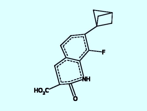 O=C(O)c1cc2ccc(C34CC(C3)C4)c(F)c2[nH]c1=O